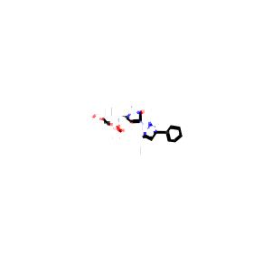 CCOCCOC(=O)OC1=C(n2nc(-c3ccccc3)cc2C)C(=O)NC1(C)C